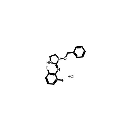 Cl.Fc1cccc(F)c1N=C1NCCN1OCc1ccccc1